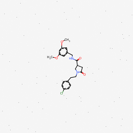 COc1cc(CNC(=O)C2CC(=O)N(CCc3ccc(Cl)cc3)C2)cc(OC)c1